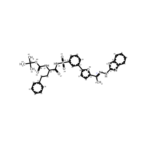 C/C(=N\Nc1nc2ccccc2s1)c1ccc(-c2cccc(S(=O)(=O)NC(=O)C(CCc3ccccc3)NC(=O)OC(C)(C)C)c2)o1